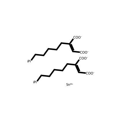 CC(C)CCCCCC(=CC(=O)[O-])C(=O)[O-].CC(C)CCCCCC(=CC(=O)[O-])C(=O)[O-].[Sn+4]